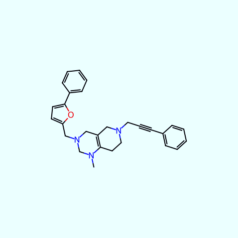 CN1CN(Cc2ccc(-c3ccccc3)o2)CC2=C1CCN(CC#Cc1ccccc1)C2